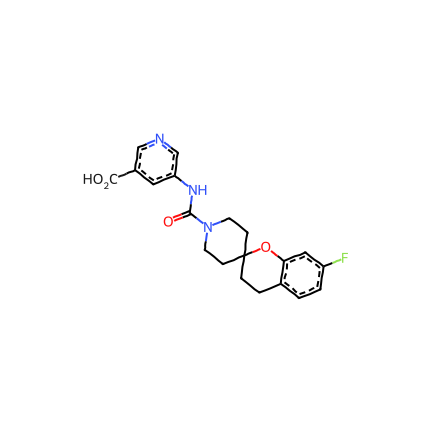 O=C(O)c1cncc(NC(=O)N2CCC3(CCc4ccc(F)cc4O3)CC2)c1